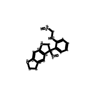 O=CC1(c2ccccc2NCC(=O)O)COc2cc3c(cc21)CCO3